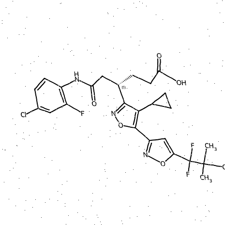 CC(C)(C)C(F)(F)c1cc(-c2onc([C@@H](CCC(=O)O)CC(=O)Nc3ccc(Cl)cc3F)c2C2CC2)no1